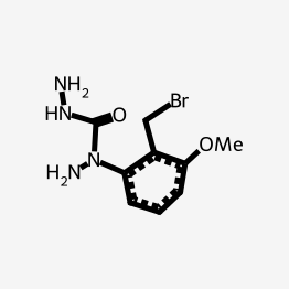 COc1cccc(N(N)C(=O)NN)c1CBr